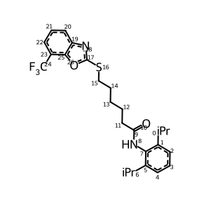 CC(C)c1cccc(C(C)C)c1NC(=O)CCCCCSc1nc2cccc(C(F)(F)F)c2o1